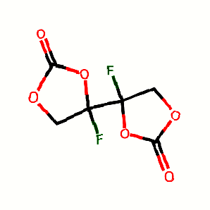 O=C1OCC(F)(C2(F)COC(=O)O2)O1